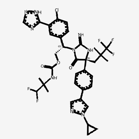 CC(C)(NC(=O)OC[C@H](c1ccc(Cl)c(-c2ncn[nH]2)c1)N1C(=N)N[C@](CC(C)(C)C(F)(F)F)(c2ccc(-c3cnn(C4CC4)c3)cc2)C1=O)C(F)F